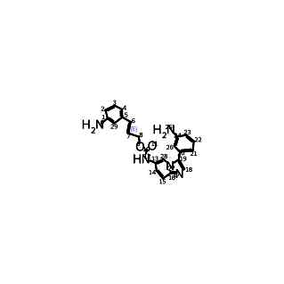 Nc1cccc(/C=C/COC(=O)Nc2ccc3ncc(-c4cccc(N)c4)n3c2)c1